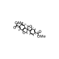 COC(=O)c1ccc2c(c1)OCC21COc2cc(C(=O)OC)ccc21